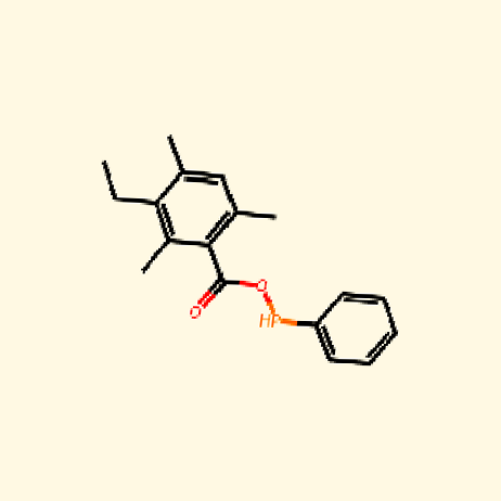 CCc1c(C)cc(C)c(C(=O)OPc2ccccc2)c1C